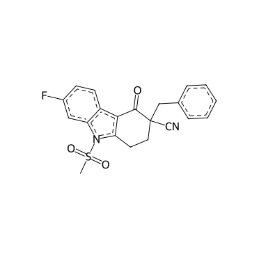 CS(=O)(=O)n1c2c(c3ccc(F)cc31)C(=O)C(C#N)(Cc1ccccc1)CC2